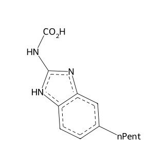 CCCCCc1ccc2[nH]c(NC(=O)O)nc2c1